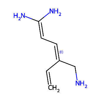 C=C/C(=C\C=C(N)N)CN